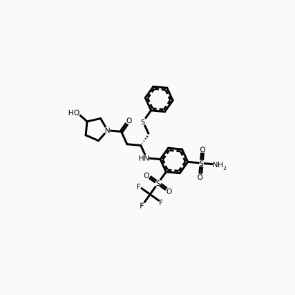 NS(=O)(=O)c1ccc(N[C@@H](CSc2ccccc2)CC(=O)N2CCC(O)C2)c(S(=O)(=O)C(F)(F)F)c1